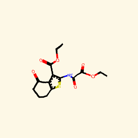 CCOC(=O)C(=O)Nc1sc2c(c1C(=O)OCC)C(=O)CCC2